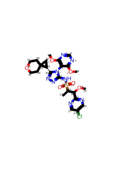 COc1ncnc(OC)c1-n1c(NS(=O)(=O)C(C)C(OC)c2ncc(Cl)cn2)nnc1[C@H]1CC12CCOCC2